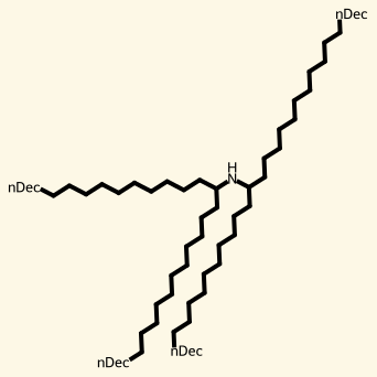 CCCCCCCCCCCCCCCCCCCCCC(CCCCCCCCCCCCCCCCCCCC)NC(CCCCCCCCCCCCCCCCCCCC)CCCCCCCCCCCCCCCCCCCCC